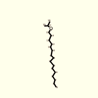 CCCCCCCCCCCCCCCCOC(C)C